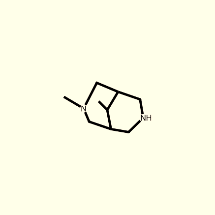 CC1C2CNCC1CN(C)C2